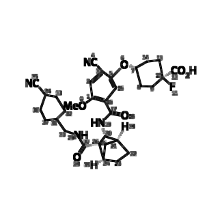 COc1cc(C#N)c(O[C@H]2CC[C@@](F)(C(=O)O)CC2)cc1C(=O)N[C@@H]1[C@H]2CC[C@H](C2)[C@@H]1C(=O)NCC1CCC(C#N)CC1